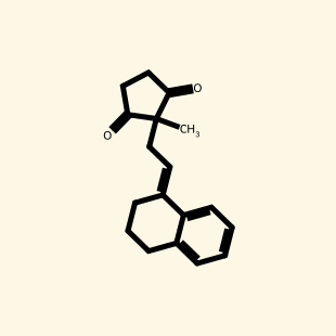 CC1(CC=C2CCCc3ccccc32)C(=O)CCC1=O